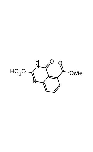 COC(=O)c1cccc2nc(C(=O)O)[nH]c(=O)c12